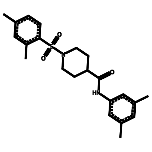 Cc1cc(C)cc(NC(=O)C2CCN(S(=O)(=O)c3ccc(C)cc3C)CC2)c1